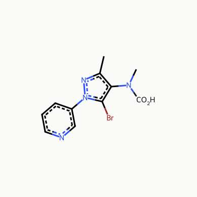 Cc1nn(-c2cccnc2)c(Br)c1N(C)C(=O)O